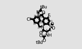 CC(C)(C)OC(=O)N[C@H]1CS(=O)(=O)c2cc(F)c(-c3nnc(C(C)(C)C)o3)cc2N(Cc2cccc(Cl)c2)C1=O